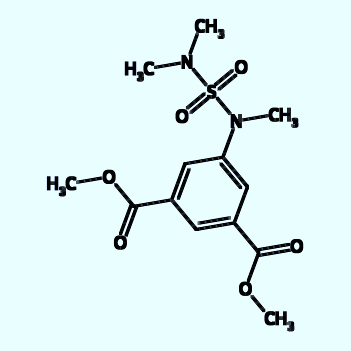 COC(=O)c1cc(C(=O)OC)cc(N(C)S(=O)(=O)N(C)C)c1